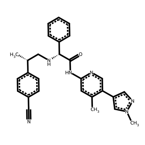 Cc1cc(NC(=O)[C@H](NC[C@@H](C)c2ccc(C#N)cc2)c2ccccc2)ncc1-c1cnn(C)c1